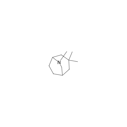 CN1CC2CCC1CC(C)(C)C2